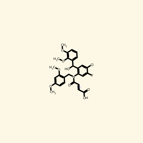 COc1ccc(CN(C(=O)/C=C/C(=O)O)c2cc(F)c(Cl)cc2C(O)c2cccc(OC)c2OC)c(OC)c1